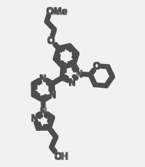 COCCOc1ccc2c(c1)c(-c1nccc(-n3cc(CCO)cn3)n1)nn2C1CCCCO1